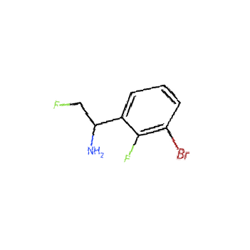 NC(CF)c1cccc(Br)c1F